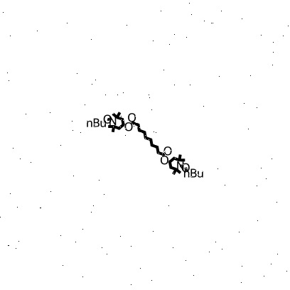 CCCCON1C(C)(C)CC(OC(=O)CCCCCCCCC(=O)OC2CC(C)(C)N(OCCCC)C(C)(C)C2)CC1(C)C